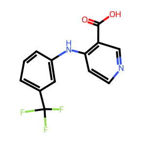 O=C(O)c1cnccc1Nc1cccc(C(F)(F)F)c1